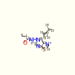 C=CC(=O)NCc1nc(C23CC(C(C)C)(C2)C3)c2[n+]#csc2n1